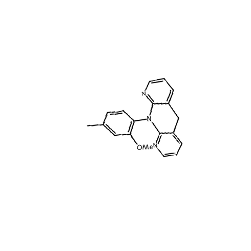 COc1cc(C)ccc1N1c2ncccc2Cc2cccnc21